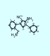 N#Cc1c(-c2ccccc2CN)cn(-c2ccccc2)c1N